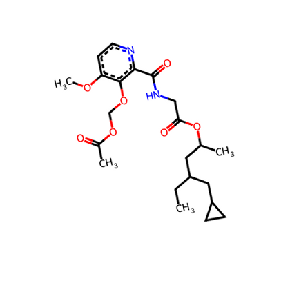 CCC(CC1CC1)CC(C)OC(=O)CNC(=O)c1nccc(OC)c1OCOC(C)=O